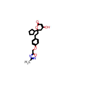 Cc1noc(COc2ccc(CCC3(C4CCCC4)CC(O)=CC(=O)O3)cc2)n1